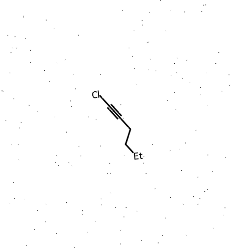 [CH2]CCCC#CCl